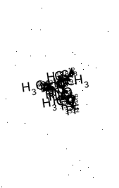 C[C@@H](NC(=O)c1cn(C(C)(C)C2CC2)c(=O)cc1N[C@H]1[C@@H]2CN(C)C[C@@H]21)c1cccc(C(F)F)c1F